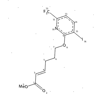 COC(=O)/C=C/CCCOc1nc(C(F)(F)F)ccc1I